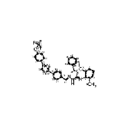 Cc1cccc(C)c1/N=C(/N/N=C/c1ccc(-c2ncn(-c3ccc(OC(F)(F)F)cc3)n2)cc1)SCc1ccccc1